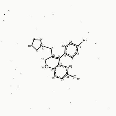 Fc1ccc(C2=C(CN3CCCC3)COc3ccc(F)cc32)cc1